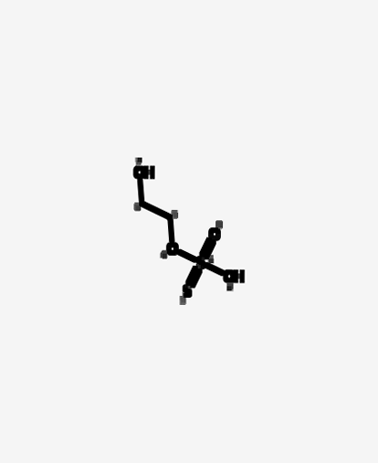 O=S(O)(=S)OCCO